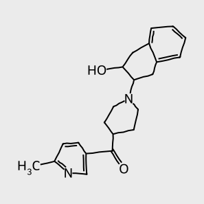 Cc1ccc(C(=O)C2CCN(C3Cc4ccccc4CC3O)CC2)cn1